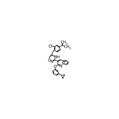 C=C(C)c1ccc(C[C@@H]2CON=C(c3cc4cccn4nc3Oc3cccc(C4CC4)c3)N2)c(Cl)c1